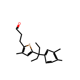 CCC(CC)(c1ccc(C)c(C)c1)c1cc(C)c(CCC=O)s1